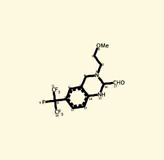 COCCN1Cc2cc(C(F)(C(F)(F)F)C(F)(F)F)ccc2NC1C=O